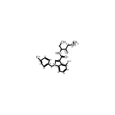 CCC(NC(=O)c1cn(Cc2ccc(F)cc2)c2cccc(F)c12)C(F)CNC